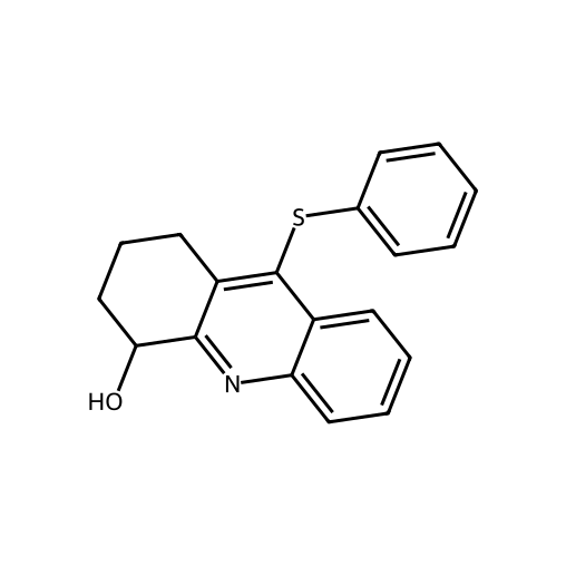 OC1CCCc2c1nc1ccccc1c2Sc1ccccc1